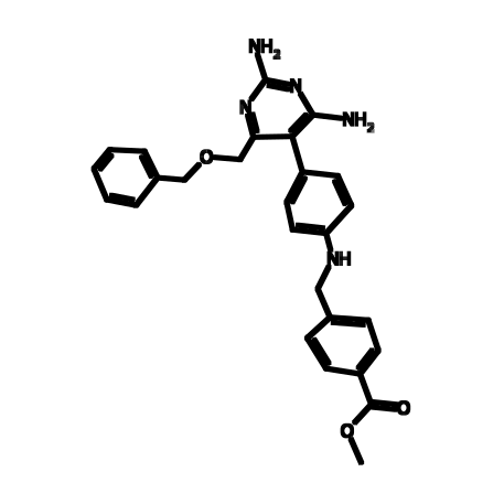 COC(=O)c1ccc(CNc2ccc(-c3c(N)nc(N)nc3COCc3ccccc3)cc2)cc1